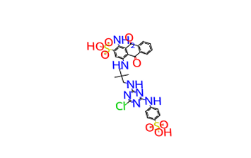 CC(C)(CNc1nc(Cl)nc(Nc2ccc(S(=O)(=O)O)cc2)n1)CNc1cc(S(=O)(=O)O)c(N)c2c1C(=O)c1ccccc1C2=O